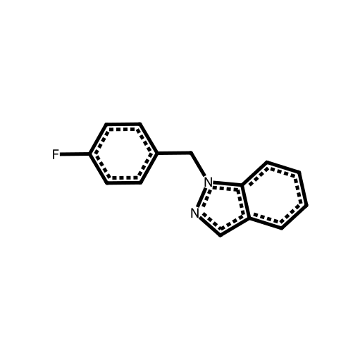 Fc1ccc(Cn2ncc3ccccc32)cc1